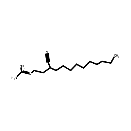 CCCCCCCCCCC(C#N)CCN=C(N)N